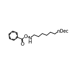 CCCCCCCCCCCCCCCCNOC(=O)c1ccccc1